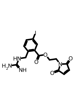 N=C(N)NCc1ccc(I)cc1C(=O)OCCN1C(=O)C=CC1=O